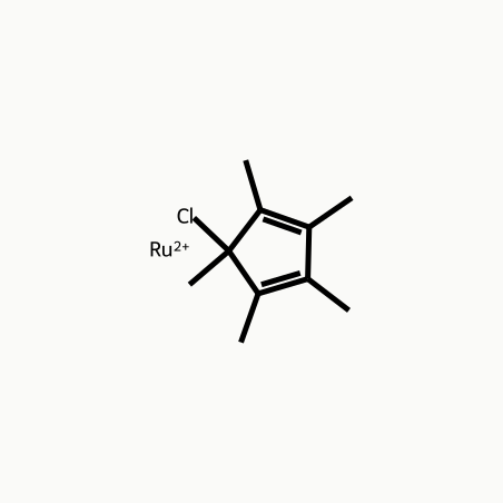 CC1=C(C)C(C)(Cl)C(C)=C1C.[Ru+2]